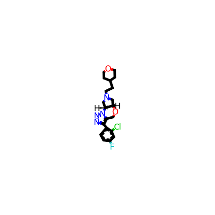 Fc1ccc(-c2nnn3c2CO[C@@H]2CN(CCC4CCOCC4)C[C@H]23)c(Cl)c1